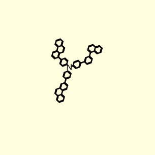 c1cc(-c2ccc(N(c3ccc(-c4ccc5c(ccc6ccccc65)c4)cc3)c3ccc(-c4cccc5c4ccc4ccccc45)cc3)cc2)cc(-c2cccc3ccccc23)c1